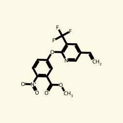 C=Cc1cnc(Oc2ccc([N+](=O)[O-])c(C(=O)OC)c2)c(C(F)(F)F)c1